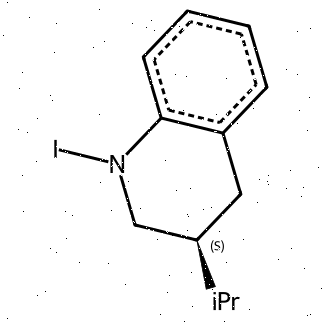 CC(C)[C@@H]1Cc2ccccc2N(I)C1